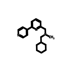 CN(Cc1cccc(-c2ccncc2)n1)CC1CCCCC1